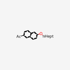 CCCCCCCOc1ccc2cc(C(C)=O)ccc2c1